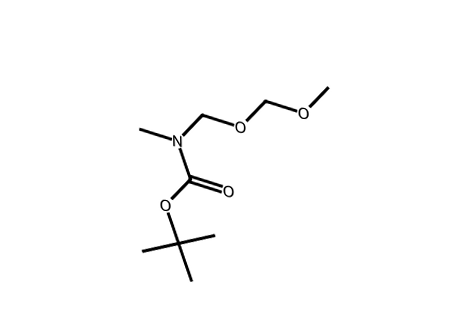 COCOCN(C)C(=O)OC(C)(C)C